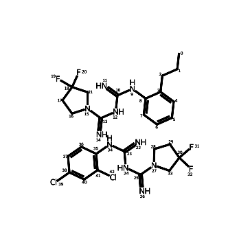 CCCc1ccccc1NC(=N)NC(=N)N1CCC(F)(F)C1.N=C(NC(=N)N1CCC(F)(F)C1)Nc1ccc(Cl)cc1Cl